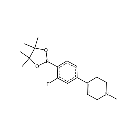 CN1CC=C(c2ccc(B3OC(C)(C)C(C)(C)O3)c(F)c2)CC1